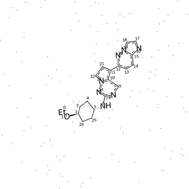 CCO[C@H]1CC[C@H](Nc2ncc3c(-c4ccc5nccn5n4)ccn3n2)CC1